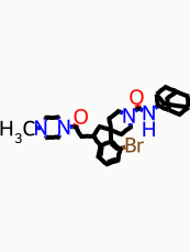 CN1CCN(C(=O)CC2CC3(CCN(C(=O)NC4C5CC6CC(C5)CC4C6)CC3)c3c(Br)cccc32)CC1